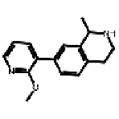 COc1ncccc1-c1ccc2c(c1)C(C)NCC2